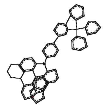 c1ccc(C2(c3ccccc3)c3ccccc3-c3ccc(-c4ccc(N(c5ccccc5-c5cccc6cccc(C7CCCCC7)c56)c5cccc6c5oc5ccccc56)cc4)cc32)cc1